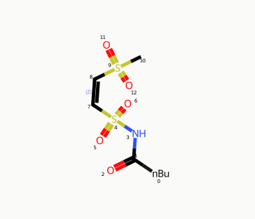 CCCCC(=O)NS(=O)(=O)/C=C\S(C)(=O)=O